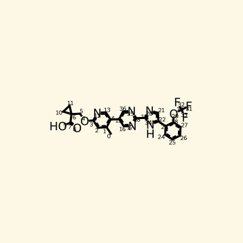 Cc1cc(OCC2(C(=O)O)CC2)ncc1-c1cnc(-c2ncc(-c3ccccc3OC(F)(F)F)[nH]2)nc1